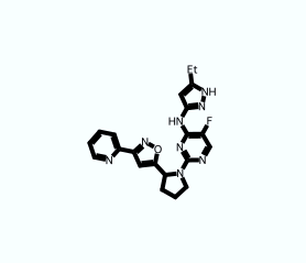 CCc1cc(Nc2nc(N3CCCC3c3cc(-c4ccccn4)no3)ncc2F)n[nH]1